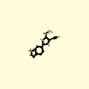 CNc1oc(-c2ccc3cc[nH]c3c2)nc1C#N